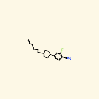 C=CCCCCC1CCC(c2ccc(C#N)c(F)c2)CC1